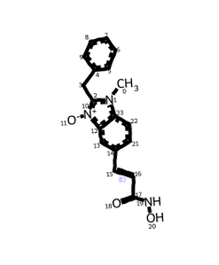 Cn1c(Cc2ccccc2)[n+]([O-])c2cc(/C=C/C(=O)NO)ccc21